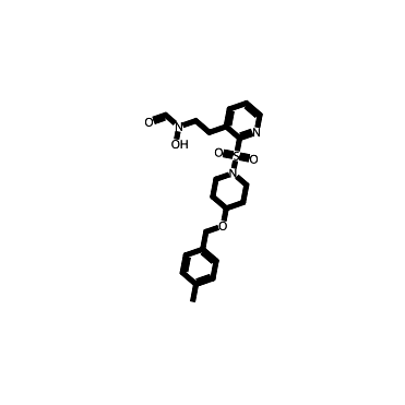 Cc1ccc(COC2CCN(S(=O)(=O)c3ncccc3CCN(O)C=O)CC2)cc1